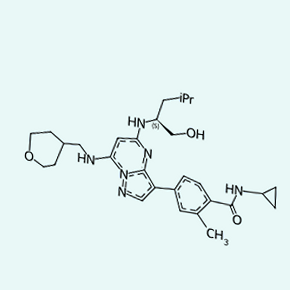 Cc1cc(-c2cnn3c(NCC4CCOCC4)cc(N[C@H](CO)CC(C)C)nc23)ccc1C(=O)NC1CC1